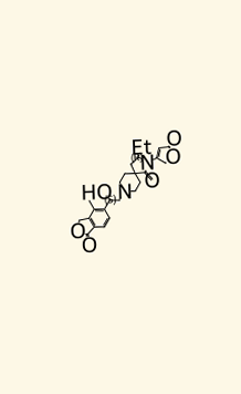 CC[C@@H]1CC2(CCN(C[C@@H](O)c3ccc4c(c3C)COC4=O)CC2)C(=O)N1C1=CC(=O)OC1